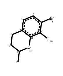 CC1CCc2ccc(Br)c(F)c2O1